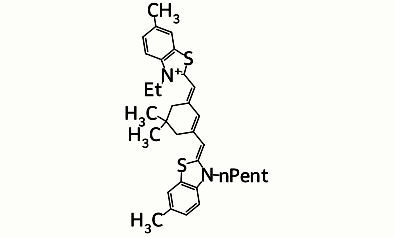 CCCCCN1/C(=C/C2=CC(=C/c3sc4cc(C)ccc4[n+]3CC)/CC(C)(C)C2)Sc2cc(C)ccc21